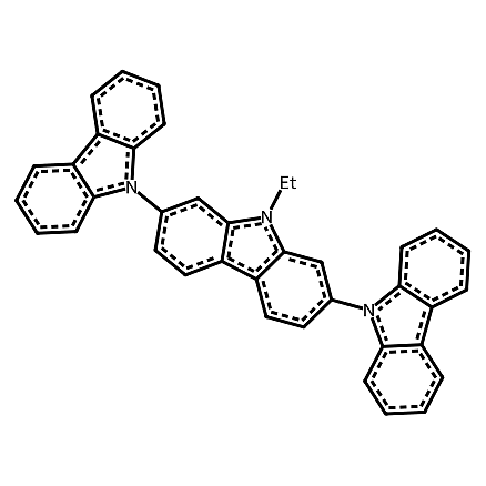 CCn1c2cc(-n3c4ccccc4c4ccccc43)ccc2c2ccc(-n3c4ccccc4c4ccccc43)cc21